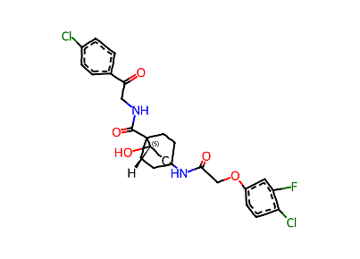 O=C(COc1ccc(Cl)c(F)c1)NC12CCC(C(=O)NCC(=O)c3ccc(Cl)cc3)(CC1)[C@@H](O)C2